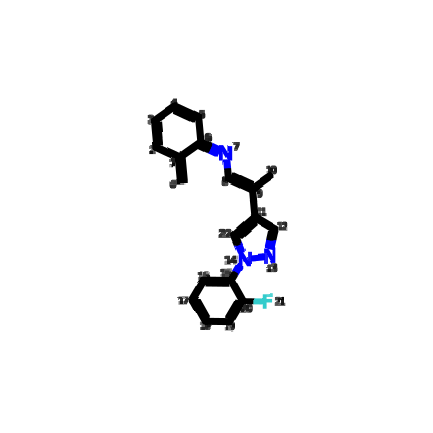 C=C1C=CC=C/C1=N/C=C(\C)c1cnn(-c2ccccc2F)c1